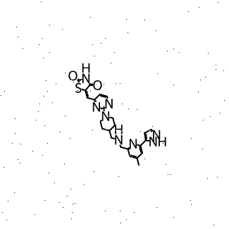 Cc1cc(CNCC2CCN(c3nccc(C=C4SC(=O)NC4=O)n3)CC2)nc(-c2ccn[nH]2)c1